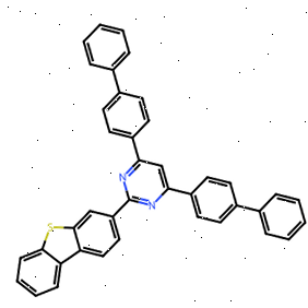 c1ccc(-c2ccc(-c3cc(-c4ccc(-c5ccccc5)cc4)nc(-c4ccc5c(c4)sc4ccccc45)n3)cc2)cc1